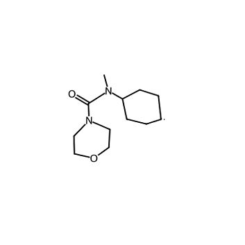 CN(C(=O)N1CCOCC1)C1CC[CH]CC1